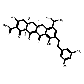 CC(=O)C1=C(O)C[C@H]2C[C@H]3Cc4c(C(C)C)cc(CCc5cc(C)cc(C)c5)c(O)c4C(=O)C3=C(O)[C@@]2(O)C1=O